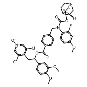 COc1ccc(N(Cc2ccc(C(=O)OC(Cc3c(Cl)c[n+]([O-])cc3Cl)c3ccc(OC)c(OC)c3)cc2)C(=O)O[C@H]2CN3CCC2CC3)c(F)c1